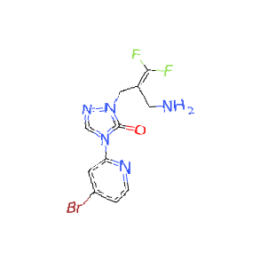 NCC(Cn1ncn(-c2cc(Br)ccn2)c1=O)=C(F)F